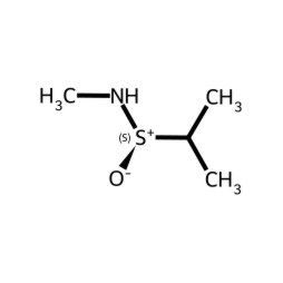 CN[S@+]([O-])C(C)C